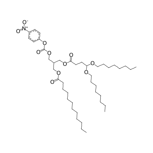 CCCCCCCCCCCC(=O)OCC(COC(=O)CCC(OCCCCCCCC)OCCCCCCCC)COC(=O)Oc1ccc([N+](=O)[O-])cc1